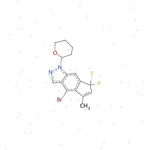 CC1=CC(F)(F)c2cc3c(cnn3C3CCCCO3)c(Br)c21